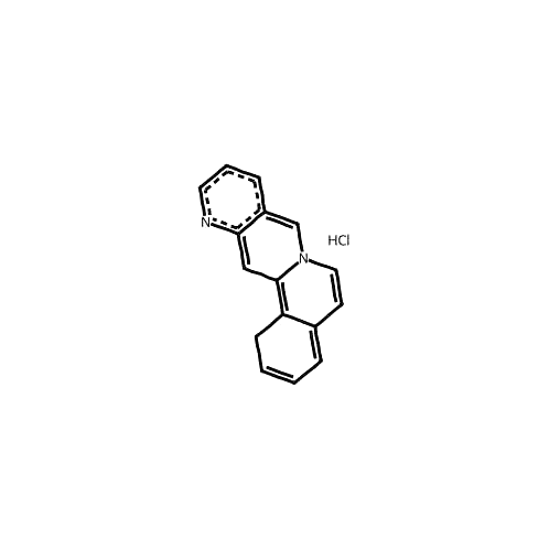 C1=CCC2=C3C=c4ncccc4=CN3C=CC2=C1.Cl